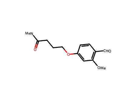 [CH2]NC(=O)CCCOc1ccc(C=O)c(OC)c1